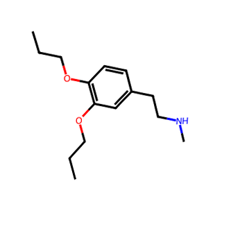 CCCOc1ccc(CCNC)cc1OCCC